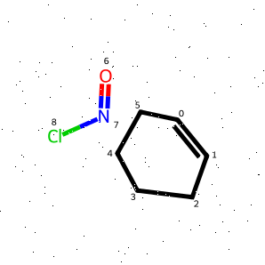 C1=CCCCC1.O=NCl